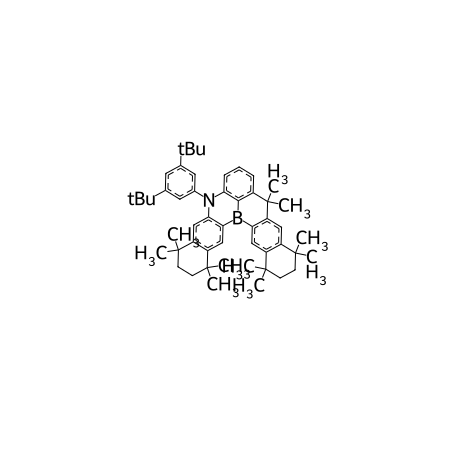 CC(C)(C)c1cc(N2c3cc4c(cc3B3c5cc6c(cc5C(C)(C)c5cccc2c53)C(C)(C)CCC6(C)C)C(C)(C)CCC4(C)C)cc(C(C)(C)C)c1